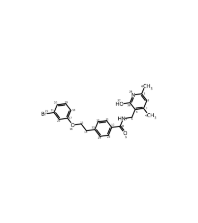 Cc1cc(C)c(CNC(=O)c2ccc(CCOc3cccc(Br)c3)cc2)c(O)n1